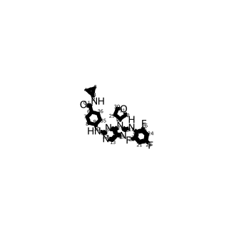 O=C(NC1CC1)C1CCC(Nc2ncc3nc(Nc4c(F)cc(F)cc4F)n([C@H]4CCOC4)c3n2)CC1